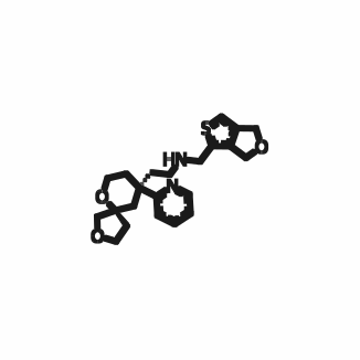 c1ccc([C@]2(CCNCc3scc4c3COC4)CCO[C@]3(CCOC3)C2)nc1